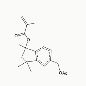 C=C(C)C(=O)OC1(C)CC(C)(C)c2cc(COC(C)=O)ccc21